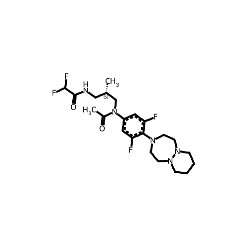 CC(=O)N(C[C@@H](C)CNC(=O)C(F)F)c1cc(F)c(N2CCN3CCCCN3CC2)c(F)c1